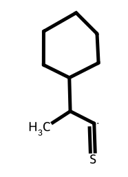 CC([C]=S)C1CCCCC1